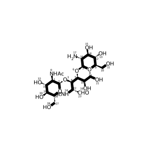 CC(=O)N[C@H]1[C@H](O[C@@H]([C@H](O[C@@H]2O[C@H](CO)[C@@H](O)[C@H](O)[C@H]2N)[C@H](O)CO)[C@H](C=O)NC(C)=O)O[C@H](CO)[C@@H](O)[C@@H]1O